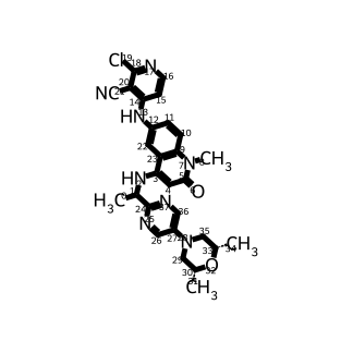 CC(Nc1cc(=O)n(C)c2ccc(Nc3ccnc(Cl)c3C#N)cc12)c1ncc(N2C[C@@H](C)O[C@@H](C)C2)cn1